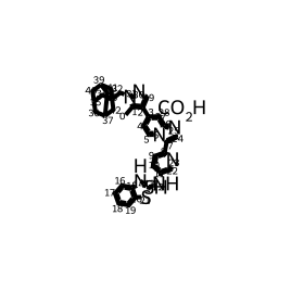 Cc1c(-c2ccn3c(-c4ccc(N[SH]5Nc6ccccc6S5)cn4)cnc3c2C(=O)O)cnn1CC12CC3CC(CC(C3)C1)C2